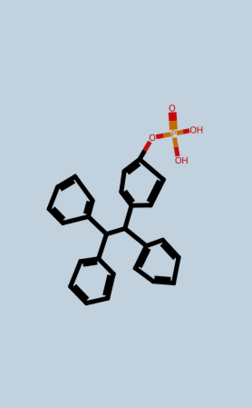 O=P(O)(O)Oc1ccc(C(c2ccccc2)C(c2ccccc2)c2ccccc2)cc1